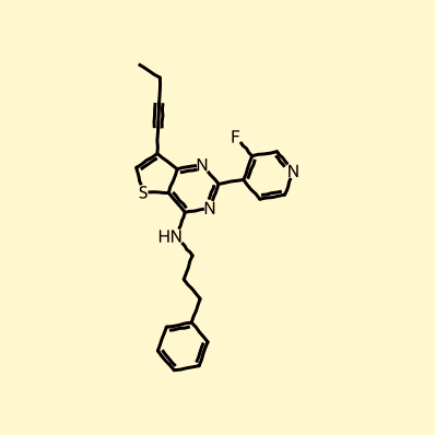 CCC#Cc1csc2c(NCCCc3ccccc3)nc(-c3ccncc3F)nc12